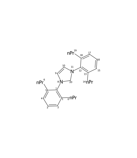 CCCc1cccc(CCC)c1N1C=CN(c2c(CCC)cccc2CCC)C1